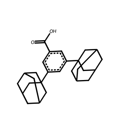 O=C(O)c1cc(C23CC4CC(CC(C4)C2)C3)cc(C23CC4CC(CC(C4)C2)C3)c1